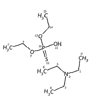 CCN(CC)CC.CCOP(O)(=S)OCC